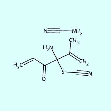 C=CC(=O)C(N)(SC#N)C(=C)C.N#CN